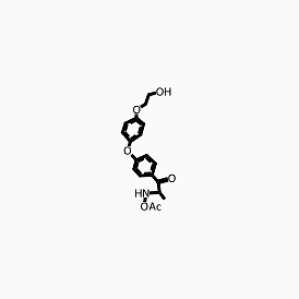 CC(=O)ONC(C)C(=O)c1ccc(Oc2ccc(OCCO)cc2)cc1